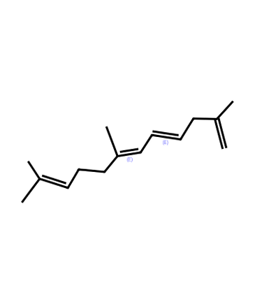 C=C(C)C/C=C/C=C(\C)CCC=C(C)C